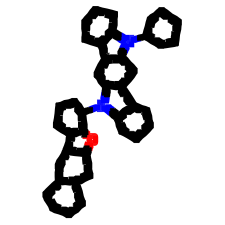 c1ccc(-n2c3ccccc3c3cc4c(cc32)c2ccccc2n4-c2cccc3c2oc2cc4ccccc4cc23)cc1